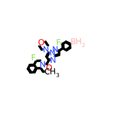 Bc1ccc(-c2cc3nc(C(=O)N4CC(F)c5ccccc5C4CC)cc(N4CCOCC4)n3n2)c(F)c1